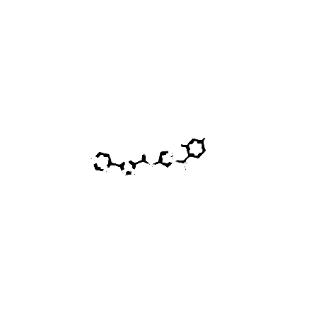 C[C@H](c1ccc(C(F)(F)F)cc1C(F)(F)F)n1cc(NC(=O)c2nnc(-c3ccncn3)s2)cn1